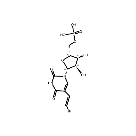 O=c1[nH]c(=O)n([C@@H]2O[C@H](COP(=O)(O)O)[C@@H](O)[C@H]2O)cc1C=CBr